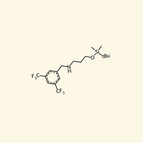 CC(C)(C)[Si](C)(C)OCCCNCc1cc(C(F)(F)F)cc(C(F)(F)F)c1